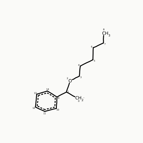 [CH2]C(OCCCCCC)c1ccccc1